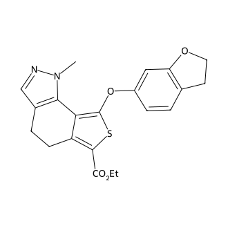 CCOC(=O)c1sc(Oc2ccc3c(c2)OCC3)c2c1CCc1cnn(C)c1-2